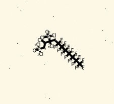 O=P(Cl)(Cl)CC(Cl)C(Cl)(CC(F)(F)C(F)(F)C(F)(F)C(F)(F)C(F)(F)C(F)(F)C(F)(F)F)P(=O)(Cl)Cl